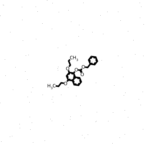 CCCOc1cc(OCCC)c2ccccc2c1OC(=O)OCc1ccccc1